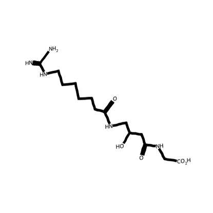 N=C(N)NCCCCCCC(=O)NCC(O)CC(=O)NCC(=O)O